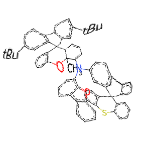 CC(C)(C)c1ccc2c(c1)C1(c3ccccc3OC3(C)C(N(c4ccc5c(c4)C4(c6ccccc6Sc6ccccc64)c4ccccc4-5)c4cccc5c4oc4ccccc45)=CC=CC31)c1cc(C(C)(C)C)ccc1-2